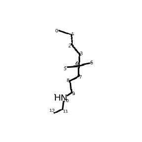 CCCCC(C)(C)CCCNCC